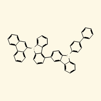 c1ccc(-c2ccc(-n3c4ccccc4c4cc(-c5cccc6c5c5ccccc5n6-c5cc6ccccc6c6ccccc56)ccc43)cc2)cc1